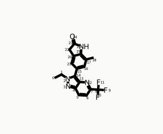 CCn1nc2ccc(C(F)(F)F)nc2c1-c1cc(C)c2c(c1)CC(=O)N2